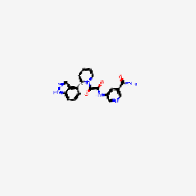 NC(=O)c1cncc(NC(=O)C(=O)N2CCCC[C@H]2c2cccc3[nH]ncc23)c1